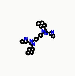 c1ccc2ncc(-c3cc(-c4ccc5ccc6cccc7ccc4c5c67)nc(-c4ccc(-c5ccc(-c6nc(-c7cnc8ccccc8c7)cc(-c7ccc8ccc9cccc%10ccc7c8c9%10)n6)cc5)cc4)n3)cc2c1